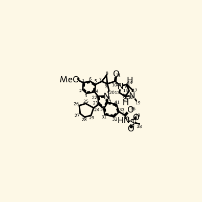 COc1ccc2c(c1)C1CC1(C(=O)N1C[C@@H]3C[C@H]1CN3C)Cn1c-2c(C2CCCCC2)c2ccc(C(=O)NS(C)(=O)=O)cc21